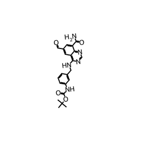 CC(C)(C)OC(=O)Nc1cccc(CNc2ncnc3c(C(N)=O)cc(C=O)cc23)c1